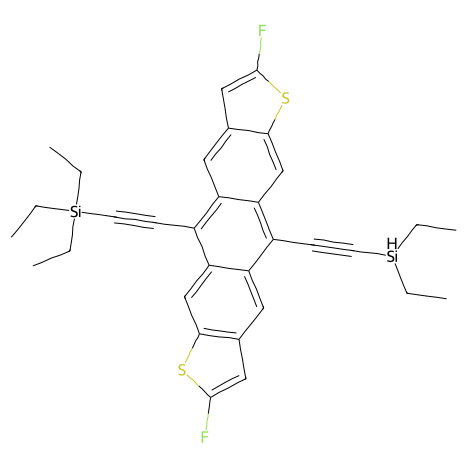 CC[SiH](C#Cc1c2cc3cc(F)sc3cc2c(C#C[Si](CC)(CC)CC)c2cc3cc(F)sc3cc12)CC